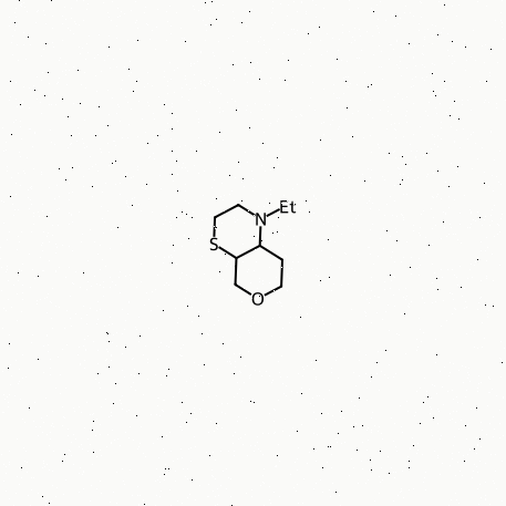 CCN1CCSC2COCCC21